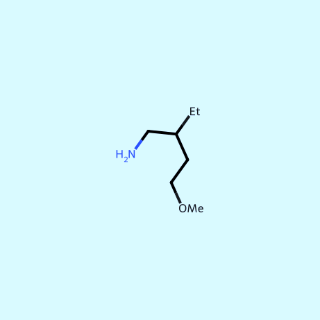 CCC(CN)CCOC